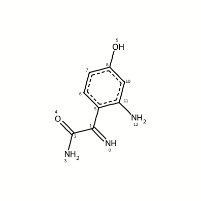 N=C(C(N)=O)c1ccc(O)cc1N